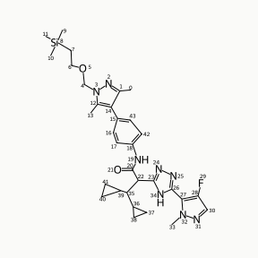 Cc1nn(COCC[Si](C)(C)C)c(C)c1-c1ccc(NC(=O)C(c2nnc(-c3c(F)cnn3C)[nH]2)C(C2CC2)C2CC2)cc1